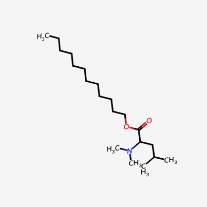 CCCCCCCCCCCCOC(=O)C(CC(C)C)N(C)C